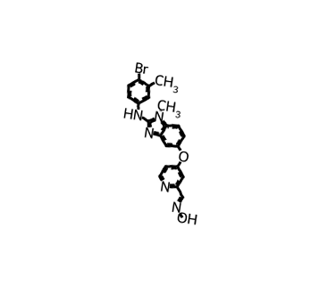 Cc1cc(Nc2nc3cc(Oc4ccnc(C=NO)c4)ccc3n2C)ccc1Br